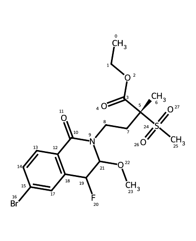 CCOC(=O)[C@@](C)(CCN1C(=O)c2ccc(Br)cc2C(F)C1OC)S(C)(=O)=O